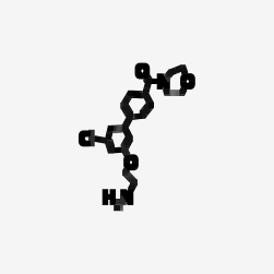 NCCOc1cc(Cl)cc(-c2ccc(C(=O)N3CCOCC3)cc2)c1